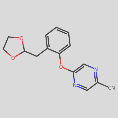 N#Cc1cnc(Oc2ccccc2CC2OCCO2)cn1